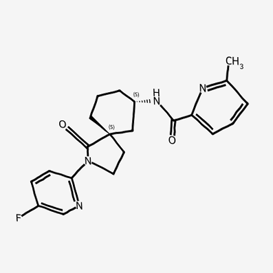 Cc1cccc(C(=O)N[C@H]2CCC[C@]3(CCN(c4ccc(F)cn4)C3=O)C2)n1